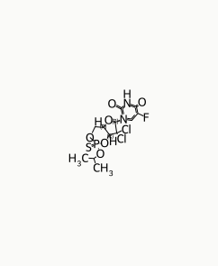 CC(C)OP1(=S)OC[C@H]2O[C@@H](n3cc(F)c(=O)[nH]c3=O)C(Cl)(Cl)[C@@H]2O1